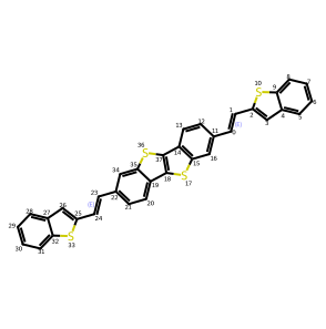 C(=C\c1cc2ccccc2s1)/c1ccc2c(c1)sc1c3ccc(/C=C/c4cc5ccccc5s4)cc3sc21